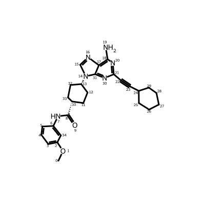 COc1cccc(NC(=O)[C@H]2CC[C@@H](n3cnc4c(N)nc(C#CC5CCCCC5)nc43)CC2)c1